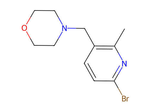 Cc1nc(Br)ccc1CN1CCOCC1